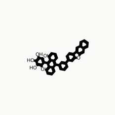 Oc1c(O)c(O)c(-c2c3ccccc3c(-c3cccc(-c4ccc5c(c4)oc4cc6ccccc6cc45)c3)c3ccccc23)c(O)c1O